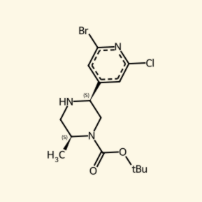 C[C@H]1CN[C@@H](c2cc(Cl)nc(Br)c2)CN1C(=O)OC(C)(C)C